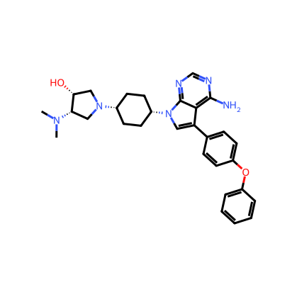 CN(C)[C@H]1CN([C@H]2CC[C@@H](n3cc(-c4ccc(Oc5ccccc5)cc4)c4c(N)ncnc43)CC2)C[C@H]1O